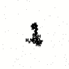 CC1(C)OB([C@H](CC(N)=O)NC(=O)CCCc2ccccc2)OC1(C)C